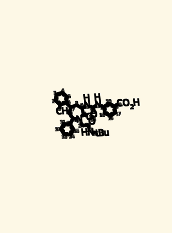 Cc1ccccc1C1CC(NC(=O)Nc2cccc(C(=O)O)c2)C(=O)N(CC(=O)NC(C)(C)C)C(c2ccccc2)C1